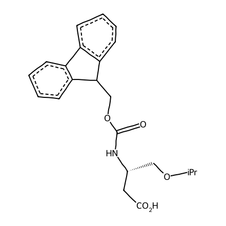 CC(C)OC[C@H](CC(=O)O)NC(=O)OCC1c2ccccc2-c2ccccc21